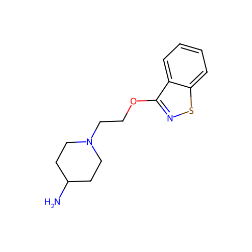 NC1CCN(CCOc2nsc3ccccc23)CC1